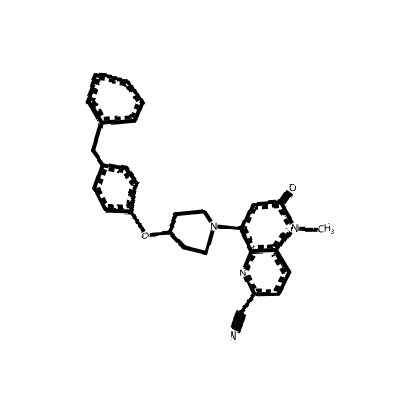 Cn1c(=O)cc(N2CCC(Oc3ccc(Cc4ccccc4)cc3)CC2)c2nc(C#N)ccc21